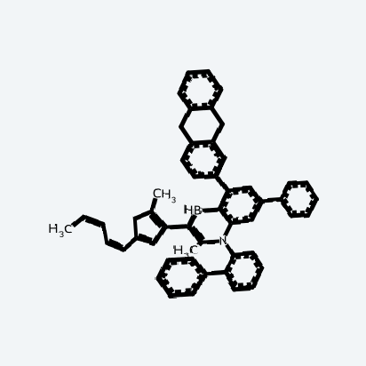 C/C=C\C=C/C1=CC(C2=C(C)N(c3ccccc3-c3ccccc3)c3cc(-c4ccccc4)cc(-c4ccc5c(c4)Cc4ccccc4C5)c3B2)=C(C)C1